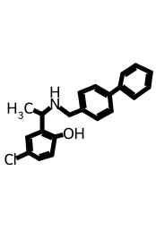 CC(NCc1ccc(-c2ccccc2)cc1)c1cc(Cl)ccc1O